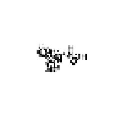 O=C(O)NCCc1cc(S(=O)(=O)c2ccccc2)n(-c2cccnc2F)n1